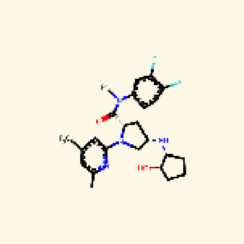 CCN(C(=O)[C@@H]1C[C@H](N[C@@H]2CCC[C@H]2O)CN1c1cc(C(F)(F)F)cc(C)n1)c1ccc(F)c(F)c1